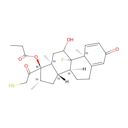 CCC(=O)O[C@]1(C(=O)CS)[C@@H](C)C[C@H]2[C@@H]3CCC4=CC(=O)C=C[C@]4(C)C3(F)C(O)C[C@@]21C